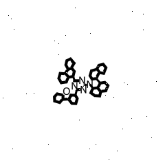 c1ccc2c3c(ccc2c1)N(c1nc(-c2cc4ccccc4c4ccccc24)nc(-c2cccc4c2oc2ccccc24)n1)c1cccc2cccc-3c12